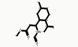 COC(=O)CC(NC=O)C1CC(C)CCC1C(C)C